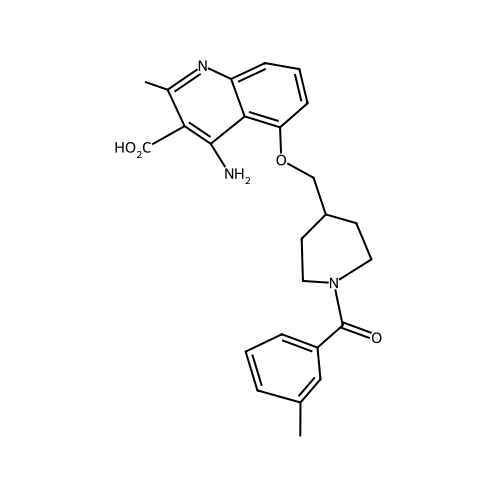 Cc1cccc(C(=O)N2CCC(COc3cccc4nc(C)c(C(=O)O)c(N)c34)CC2)c1